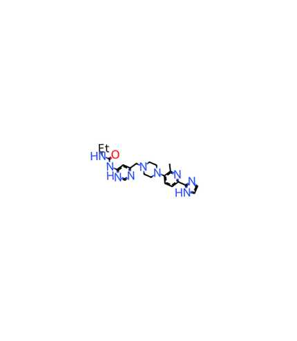 CCNC(=O)Nc1cc(CN2CCN(c3ccc(-c4ncc[nH]4)nc3C)CC2)ncn1